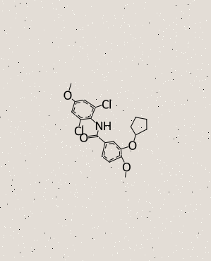 COc1cc(Cl)c(NC(=O)c2ccc(OC)c(OC3CCCC3)c2)c(Cl)c1